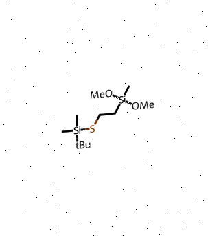 CO[Si](C)(CCS[Si](C)(C)C(C)(C)C)OC